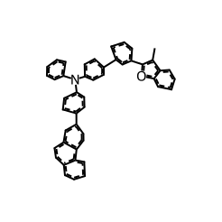 Cc1c(-c2cccc(-c3ccc(N(c4ccccc4)c4ccc(-c5ccc6c(ccc7ccccc76)c5)cc4)cc3)c2)oc2ccccc12